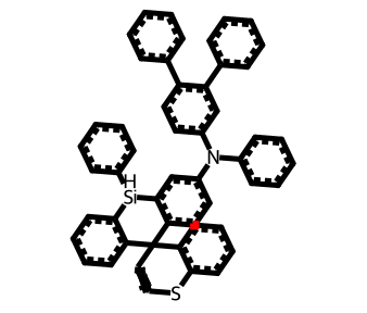 c1ccc(-c2ccc(N(c3ccccc3)c3ccc4c(c3)[SiH](c3ccccc3)c3ccccc3C43c4ccccc4Sc4ccccc43)cc2-c2ccccc2)cc1